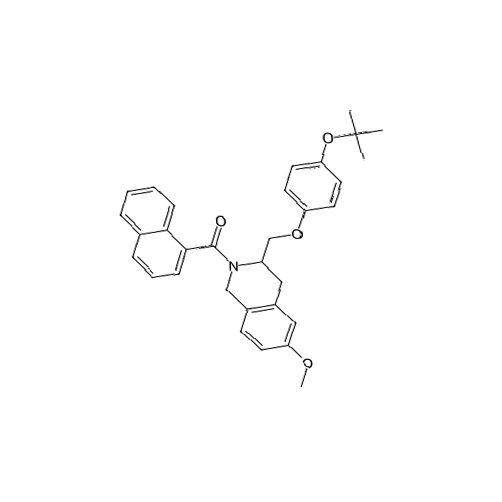 COc1ccc2c(c1)CC(COc1ccc(OC(C)(C)C)cc1)N(C(=O)c1cccc3ccccc13)C2